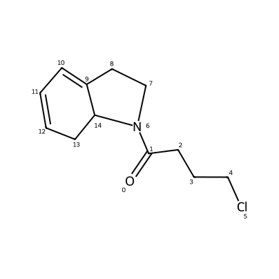 O=C(CCCCl)N1CCC2=CC=CCC21